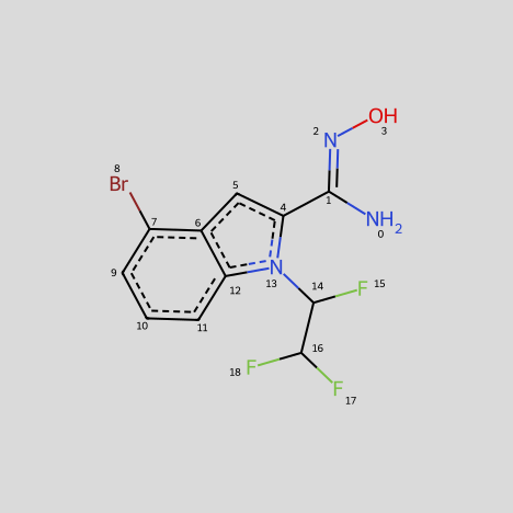 NC(=NO)c1cc2c(Br)cccc2n1C(F)C(F)F